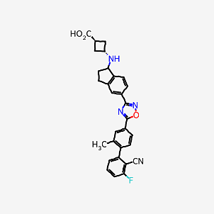 Cc1cc(-c2nc(-c3ccc4c(c3)CCC4N[C@H]3C[C@H](C(=O)O)C3)no2)ccc1-c1cccc(F)c1C#N